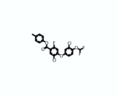 Cc1ccc(OC(=O)c2cc(Cl)c(Oc3ccc(OC(F)F)c(Cl)c3)cc2F)cc1